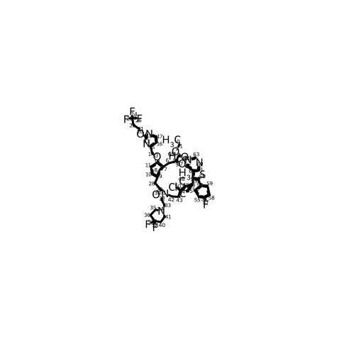 CCOC(=O)[C@H]1Cc2cc(ccc2OCc2ccnc(OCCC(F)(F)F)n2)CC(=O)N(CCN2CCC(F)(F)CC2)Cc2ccc(c(C)c2Cl)-c2c(-c3ccc(F)cc3)sc3ncnc(c23)O1